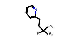 CCC(C)(C)CCc1ccccn1